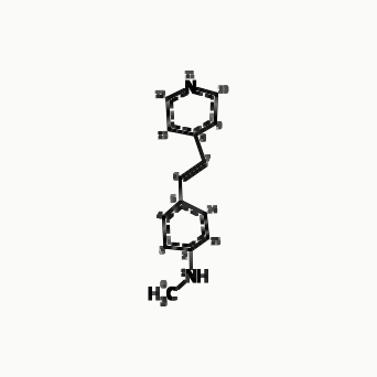 CNc1ccc(C=Cc2ccncc2)cc1